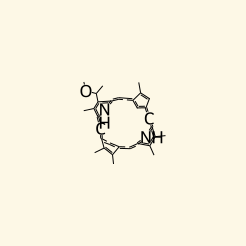 COC(C)c1c(C)c2cc3cc(cc4[nH]c(cc5cc(cc1[nH]2)C(C)=C5)c(C)c4C)C(C)=C3C